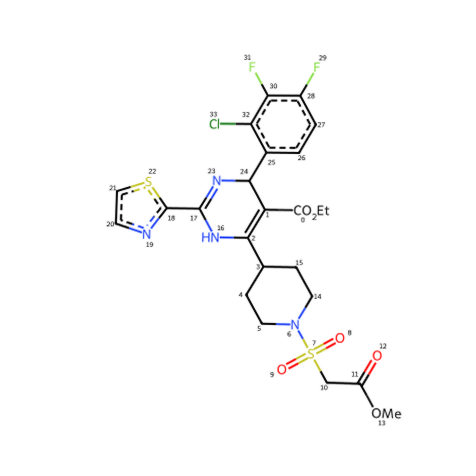 CCOC(=O)C1=C(C2CCN(S(=O)(=O)CC(=O)OC)CC2)NC(c2nccs2)=NC1c1ccc(F)c(F)c1Cl